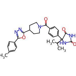 Cc1ccc(-c2nnc(C3CCN(C(=O)c4ccc([C@@]5(C(C)C)NC(=O)NC5=O)cc4)CC3)o2)cc1